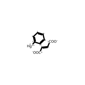 O=C([O-])C=CC(=O)[O-].[Hg+2][c]1ccccc1